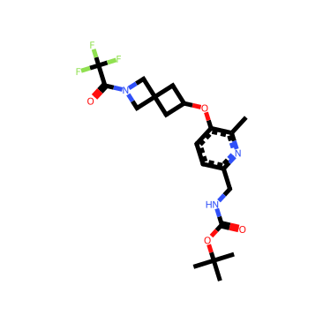 Cc1nc(CNC(=O)OC(C)(C)C)ccc1OC1CC2(C1)CN(C(=O)C(F)(F)F)C2